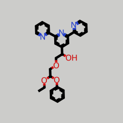 CCOC(COCC(O)c1cc(-c2ccccn2)nc(-c2ccccn2)c1)Oc1ccccc1